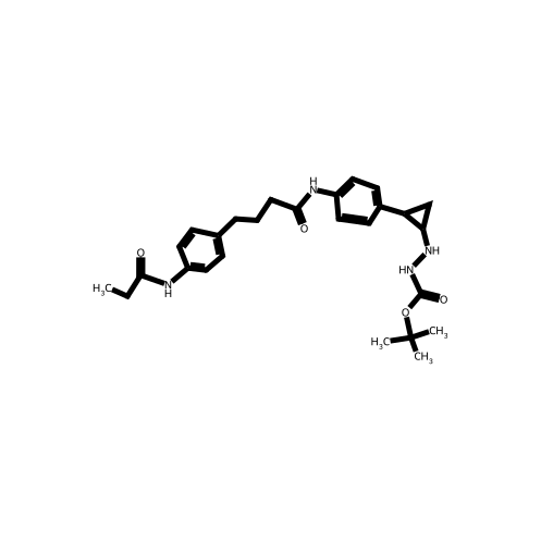 CCC(=O)Nc1ccc(CCCC(=O)Nc2ccc(C3CC3NNC(=O)OC(C)(C)C)cc2)cc1